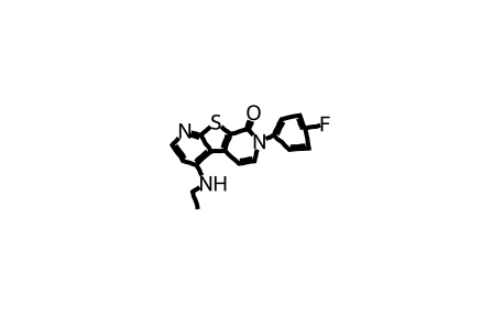 CCNc1ccnc2sc3c(=O)n(-c4ccc(F)cc4)ccc3c12